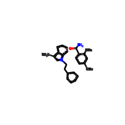 COc1ccc(C(N)=O)c(OC)c1.O=C(O)c1cn(CCc2ccccc2)c2ccccc12